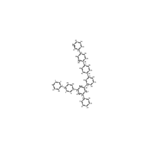 c1ccc(-c2ccc(-c3nc(-c4ccccc4)nc(-c4cccc(-c5ccc(-c6ccc(-c7cccnc7)cn6)cc5)c4)n3)cc2)cc1